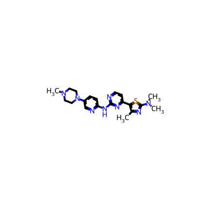 Cc1nc(N(C)C)sc1-c1ccnc(Nc2ccc(N3CCN(C)CC3)cn2)n1